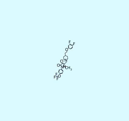 Cn1c(CN2CCC(CCOc3ccc(F)c(F)c3)CC2)c(Cl)c(=O)n1-c1ccc(OC(F)(F)F)cc1